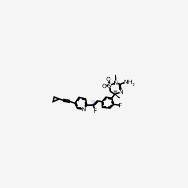 CN1C(N)=N[C@](C)(c2cc(/C=C(\F)c3ccc(C#CC4CC4)cn3)ccc2F)CS1(=O)=O